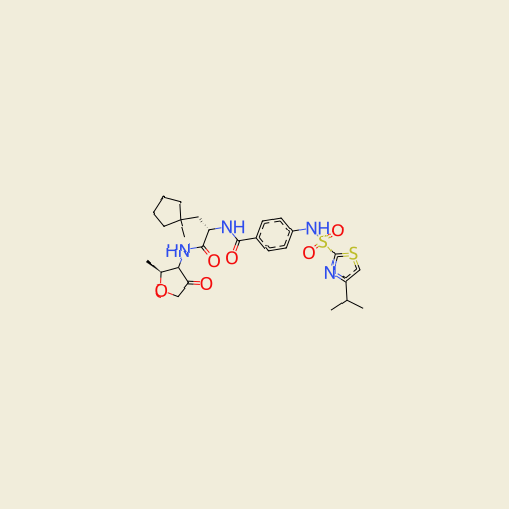 CC(C)c1csc(S(=O)(=O)Nc2ccc(C(=O)N[C@@H](CC3(C)CCCC3)C(=O)NC3C(=O)CO[C@H]3C)cc2)n1